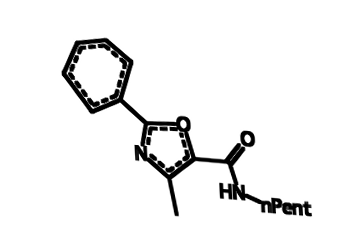 CCCCCNC(=O)c1oc(-c2ccccc2)nc1C